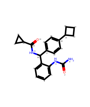 NC(=O)Nc1ccccc1C(NC(=O)C1CC1)c1ccc(C2CCC2)cc1